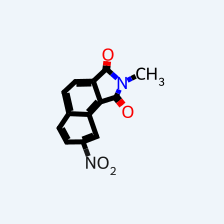 CN1C(=O)c2ccc3ccc([N+](=O)[O-])cc3c2C1=O